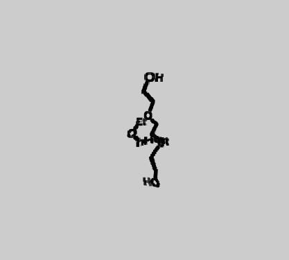 CCCCCCCOCC.OCCOCCOCCO